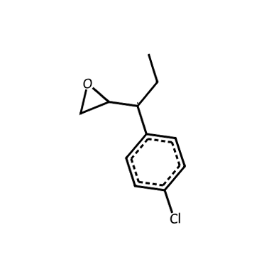 CC[C](c1ccc(Cl)cc1)C1CO1